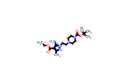 CCOC(=O)c1c(C)nn(CCN2CCN(C(=O)OC(C)(C)C)CC2)c1N